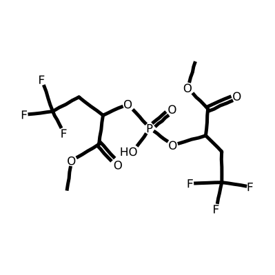 COC(=O)C(CC(F)(F)F)OP(=O)(O)OC(CC(F)(F)F)C(=O)OC